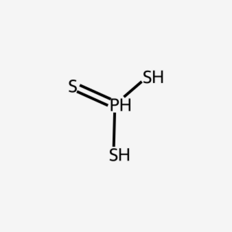 S=[PH](S)S